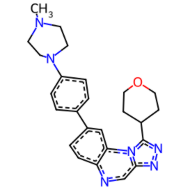 CN1CCN(c2ccc(-c3ccc4ncc5nnc(C6CCOCC6)n5c4c3)cc2)CC1